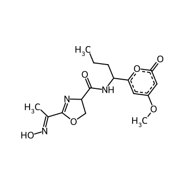 CCCC(NC(=O)C1COC(/C(C)=N/O)=N1)c1cc(OC)cc(=O)o1